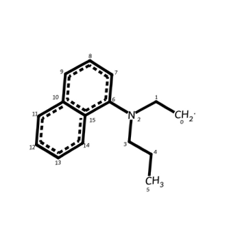 [CH2]CN(CCC)c1cccc2ccccc12